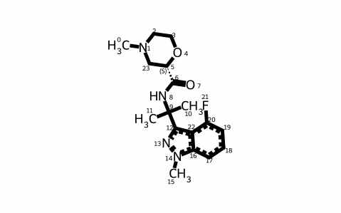 CN1CCO[C@H](C(=O)NC(C)(C)c2nn(C)c3cccc(F)c23)C1